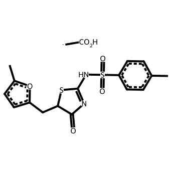 Cc1ccc(S(=O)(=O)NC2=NC(=O)C(Cc3ccc(C)o3)S2)cc1.[CH2]C(=O)O